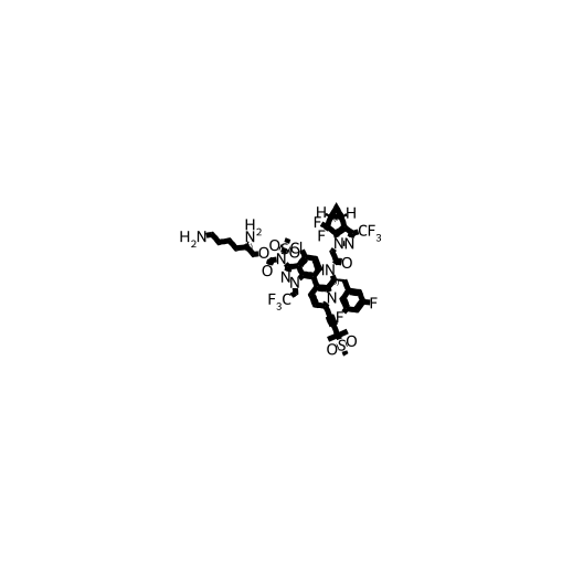 CC(C)(C#Cc1ccc(-c2ccc(Cl)c3c(N(C(=O)OC[C@@H](N)CCCCN)S(C)(=O)=O)nn(CC(F)(F)F)c23)c([C@H](Cc2cc(F)cc(F)c2)NC(=O)Cn2nc(C(F)(F)F)c3c2C(F)(F)[C@@H]2C[C@H]32)n1)S(C)(=O)=O